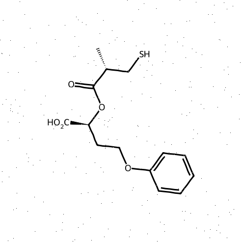 C[C@H](CS)C(=O)O[C@@H](CCOc1ccccc1)C(=O)O